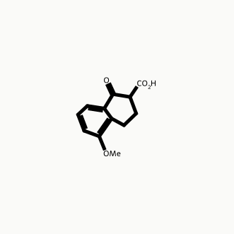 COc1cccc2c1CCC(C(=O)O)C2=O